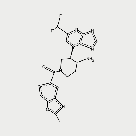 Cc1nc2cc(C(=O)N3CCC(N)[C@H](c4cc(C(F)F)nc5ncnn45)C3)ccc2o1